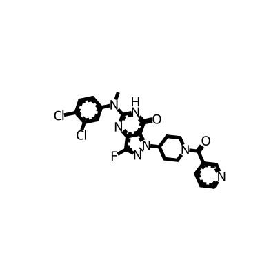 CN(c1ccc(Cl)c(Cl)c1)c1nc2c(F)nn(C3CCN(C(=O)c4cccnc4)CC3)c2c(=O)[nH]1